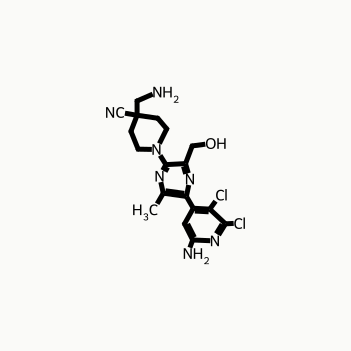 Cc1nc(N2CCC(C#N)(CN)CC2)c(CO)nc1-c1cc(N)nc(Cl)c1Cl